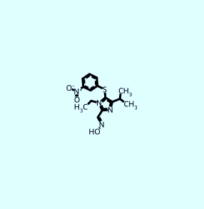 CCn1c(/C=N/O)nc(C(C)C)c1Sc1cccc([N+](=O)[O-])c1